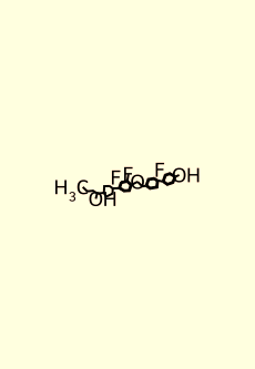 CCCC(O)C1CCC(c2ccc(OCc3ccc(-c4ccc(O)cc4F)cc3)c(F)c2F)CC1